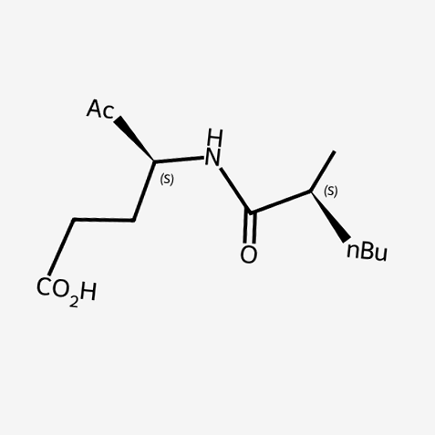 CCCC[C@H](C)C(=O)N[C@@H](CCC(=O)O)C(C)=O